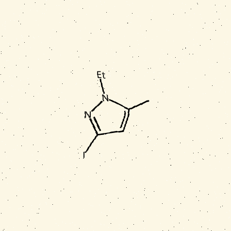 CCn1nc(I)cc1C